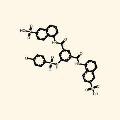 O=C(Nc1cccc2cc(S(=O)(=O)O)ccc12)c1cc(NS(=O)(=O)c2ccc(Cl)cc2)cc(C(=O)Nc2cccc3cc(S(=O)(=O)O)ccc23)c1